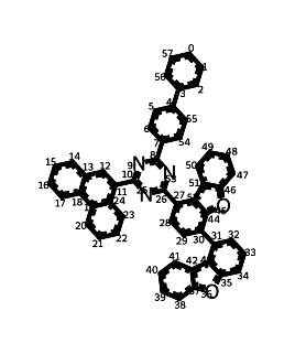 c1ccc(-c2ccc(-c3nc(-c4cc5ccccc5c5ccccc45)nc(-c4ccc(-c5cccc6oc7ccccc7c56)c5oc6ccccc6c45)n3)cc2)cc1